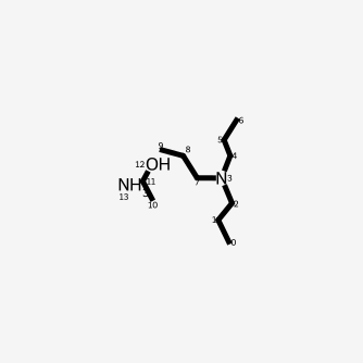 CCCN(CCC)CCC.CCO.N